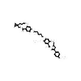 COc1ccc(C2=CN3C(=O)c4cc(OC)c(OCCCCCOc5cc6c(cc5OC)C(=O)N5CC7(CC7)CC5C=N6)cc4NCC3C2)cc1